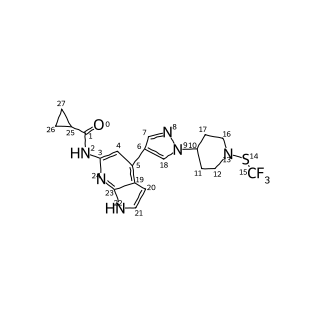 O=C(Nc1cc(-c2cnn(C3CCN(SC(F)(F)F)CC3)c2)c2cc[nH]c2n1)C1CC1